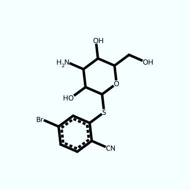 N#Cc1ccc(Br)cc1SC1OC(CO)C(O)C(N)C1O